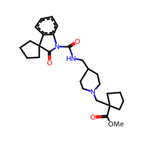 COC(=O)C1(CN2CCC(CNC(=O)N3C(=O)C4(CCCC4)c4ccccc43)CC2)CCCC1